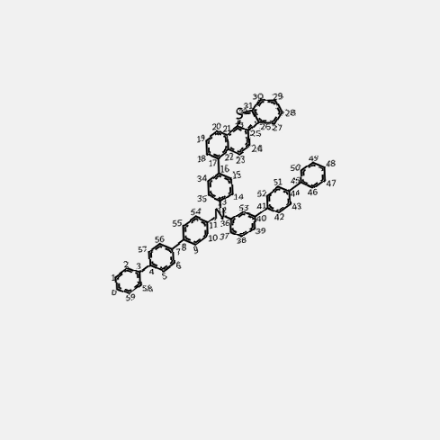 c1ccc(-c2ccc(-c3ccc(N(c4ccc(-c5cccc6c5ccc5c7ccccc7sc65)cc4)c4cccc(-c5ccc(-c6ccccc6)cc5)c4)cc3)cc2)cc1